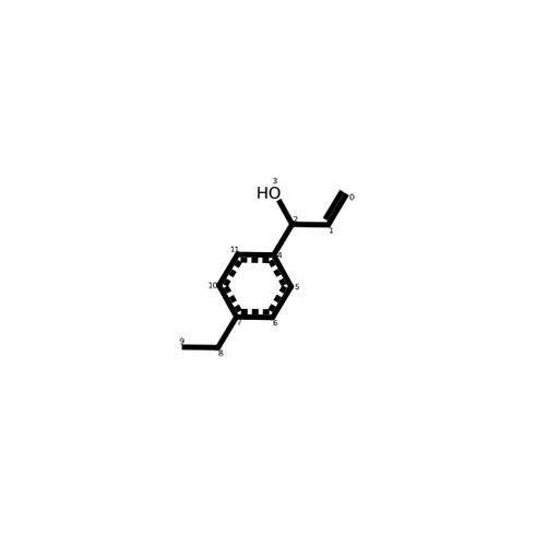 C=CC(O)c1ccc(CC)cc1